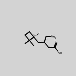 CC1(C)CC[C@@]1(C)CC(CN)CC(=O)O